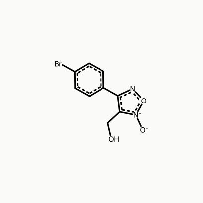 [O-][n+]1onc(-c2ccc(Br)cc2)c1CO